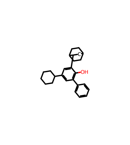 Oc1c(-c2ccccc2)cc(C2CCCCC2)cc1C1CC2CCC1CC2